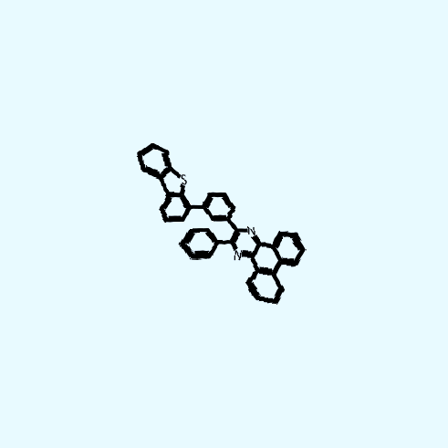 C1=Cc2c(c3ccccc3c3nc(-c4cccc(-c5cccc6c5sc5ccccc56)c4)c(-c4ccccc4)nc23)CC1